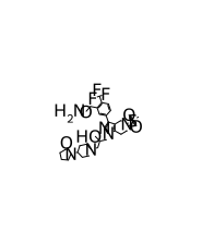 CS(=O)(=O)N1CCc2c(c(-c3ccc(C(F)(F)F)c(CON)c3)nn2CC(O)CN2CCC(N3CCCC3=O)CC2)C1